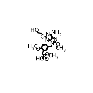 COc1ccc(Cn2c(OC)nc3c(N)nc(OCCO)nc32)cc1CP(=O)(O)OC